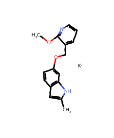 COc1ncccc1COc1ccc2cc(C)[nH]c2c1.[K]